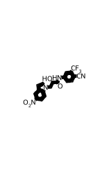 N#Cc1ccc(NC(=O)[C@@H](O)Cn2ccc3cc([N+](=O)[O-])ccc32)cc1C(F)(F)F